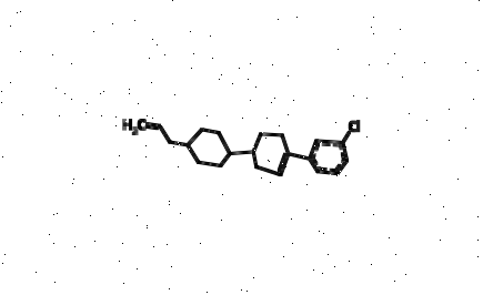 C=CCC1CCC(C2CC=C(c3cccc(Cl)c3)CC2)CC1